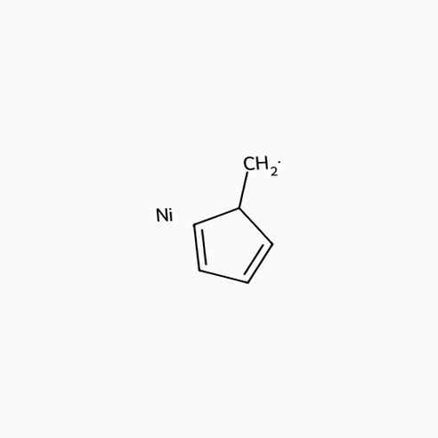 [CH2]C1C=CC=C1.[Ni]